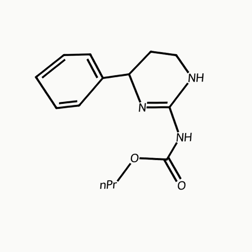 CCCOC(=O)NC1=NC(c2ccccc2)CCN1